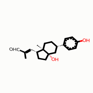 C/C(C=O)=C\[C@H]1CC[C@]2(O)C[C@@H](c3ccc(O)cc3)CC[C@]12C